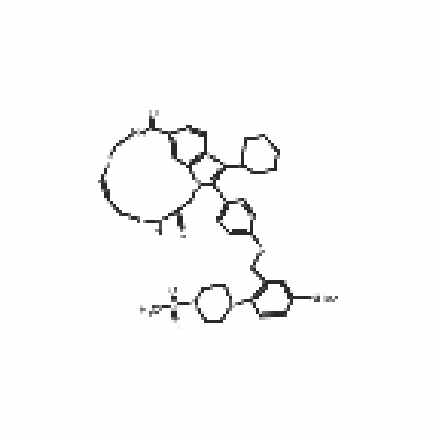 CC(=O)Nc1ccc(N2CCN(S(C)(=O)=O)CC2)c(COc2ccc(-c3c(C4CCCCC4)c4ccc5cc4n3CC(=O)NCC/C=C\CCNC5=O)cc2)c1